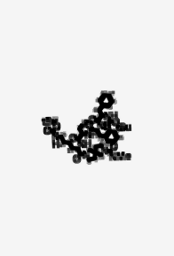 CNC(=O)N1CCC2(CCN(C(=O)C(CCCCNC(=O)OC(C)(C)C)NC(=O)C(CC(C)C)NC(=O)C(Cc3ccccc3)NC(=O)C(Cc3ccccc3)NC(=O)OC(C)(C)C)C2)C1